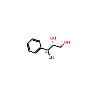 C[C@@H](c1ccccc1)[C@H](O)CO